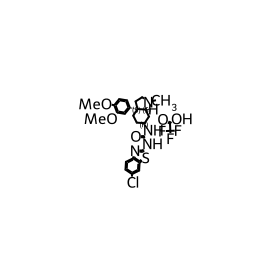 COc1ccc([C@@]23CC[C@@H](NC(=O)Nc4nc5ccc(Cl)cc5s4)C[C@@H]2N(C)CC3)cc1OC.O=C(O)C(F)(F)F